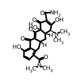 CN(C)C(=O)c1ccc(O)c2c1C[C@H]1C[C@H]3[C@H](N(C)C)C(O)=C(C(N)=O)C(=O)[C@@]3(O)C(O)=C1C2=O